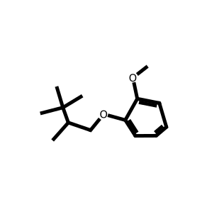 COc1ccccc1OCC(C)C(C)(C)C